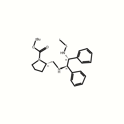 CC(C)(C)OC(=O)N1CCC[C@H]1CN[C@H](c1ccccc1)[C@H](NSI)c1ccccc1